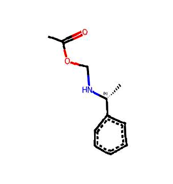 CC(=O)OCN[C@H](C)c1ccccc1